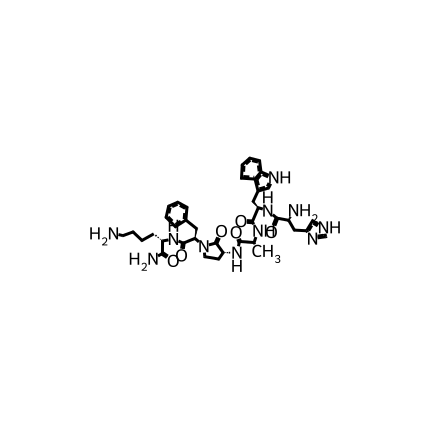 C[C@H](NC(=O)[C@@H](Cc1c[nH]c2ccccc12)NC(=O)[C@@H](N)Cc1c[nH]cn1)C(=O)N[C@@H]1CCN([C@H](Cc2ccccc2)C(=O)N[C@@H](CCCCN)C(N)=O)C1=O